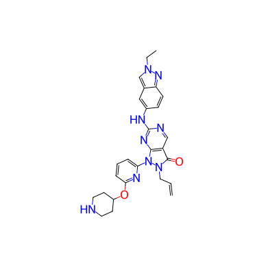 C=CCn1c(=O)c2cnc(Nc3ccc4nn(CC)cc4c3)nc2n1-c1cccc(OC2CCNCC2)n1